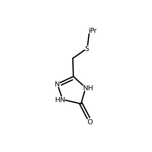 CC(C)SCc1n[nH]c(=O)[nH]1